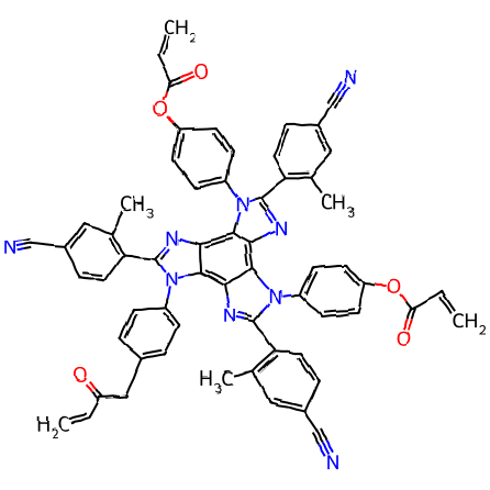 C=CC(=O)Cc1ccc(-n2c(-c3ccc(C#N)cc3C)nc3c2c2nc(-c4ccc(C#N)cc4C)n(-c4ccc(OC(=O)C=C)cc4)c2c2nc(-c4ccc(C#N)cc4C)n(-c4ccc(OC(=O)C=C)cc4)c32)cc1